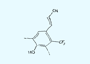 Cc1cc(/C=C/C#N)c(C(F)(F)F)c(C)c1O